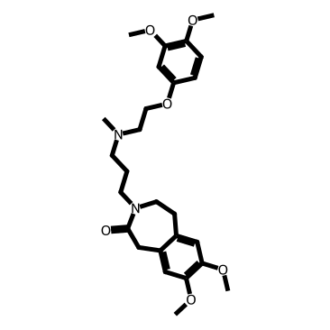 COc1ccc(OCCN(C)CCCN2CCc3cc(OC)c(OC)cc3CC2=O)cc1OC